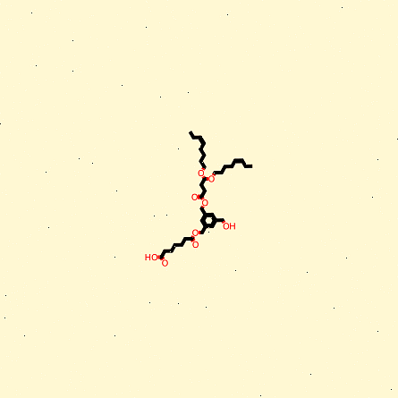 CC/C=C\CCCCOC(CCC(=O)OCc1cc(CO)cc(COC(=O)CCCCCC(=O)O)c1)OCCCC/C=C\CC